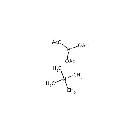 CC(=O)O[B-](OC(C)=O)OC(C)=O.C[N+](C)(C)C